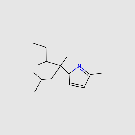 CCC(C)C(C)(CC(C)C)C1C=CC(C)=N1